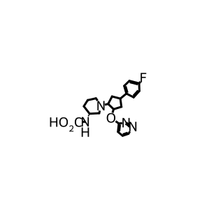 O=C(O)N[C@@H]1CCCN(C2CC(c3ccc(F)cc3)CC2Oc2cccnn2)C1